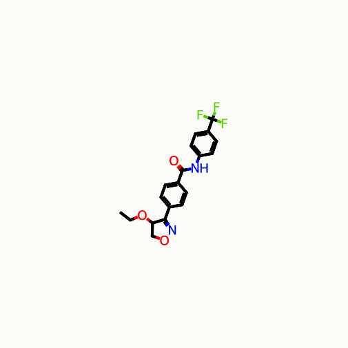 CCOC1CON=C1c1ccc(C(=O)Nc2ccc(C(F)(F)F)cc2)cc1